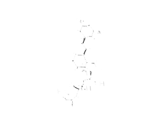 C[C@H](CNC(=O)C[C@@](C)(O)C(F)(F)F)[C@H]1CCC2/C(=C/C=C3C[C@@H](O)C[C@H](O)C3)CCC[C@@]21C